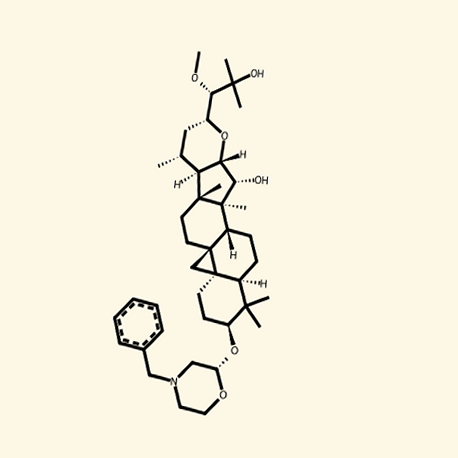 CO[C@@H]([C@H]1C[C@@H](C)[C@H]2[C@H](O1)[C@H](O)[C@@]1(C)[C@@H]3CC[C@H]4C(C)(C)[C@@H](O[C@H]5CN(Cc6ccccc6)CCO5)CC[C@@]45C[C@@]35CC[C@]21C)C(C)(C)O